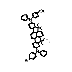 CC(C)(C)c1ccc(N(c2ccccc2)c2ccc3c(c2)C(C)(C)c2ccc4c5c(ccc-3c25)C2=C(CC(N(C3=CCC(C(C)(C)C)C=C3)c3ccccc3)C=C2)C4(C)C)cc1